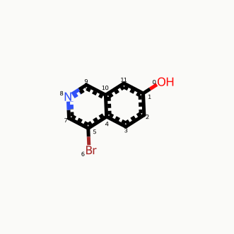 Oc1ccc2c(Br)cncc2c1